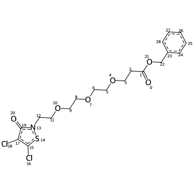 O=C(CCOCCOCCOCCn1sc(Cl)c(Cl)c1=O)OCc1ccccc1